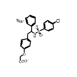 O=C([O-])COc1ccc(CC(NS(=O)(=O)c2ccc(Cl)cc2)c2ccccc2)cc1.[Na+]